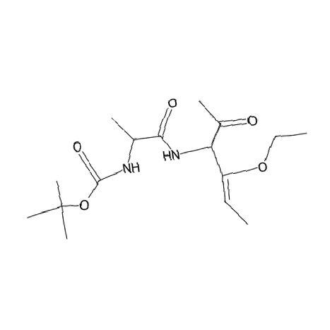 CC=C(OCC)C(NC(=O)C(C)NC(=O)OC(C)(C)C)C(C)=O